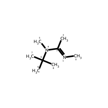 C/N=C(\C)N(C)C(C)(C)C